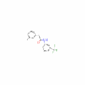 Cc1cccc(CC(=O)Nc2cccc(C(F)(F)F)c2)c1